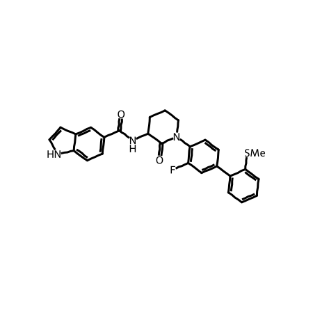 CSc1ccccc1-c1ccc(N2CCCC(NC(=O)c3ccc4[nH]ccc4c3)C2=O)c(F)c1